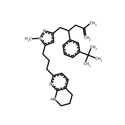 C=C(C)CC(Cc1cc(CCCc2ccc3c(n2)NCCC3)n(C)n1)c1cccc(C(C)(C)C)c1